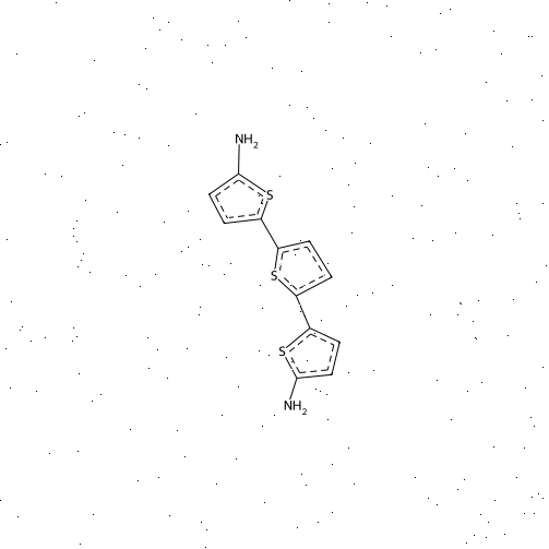 Nc1ccc(-c2ccc(-c3ccc(N)s3)s2)s1